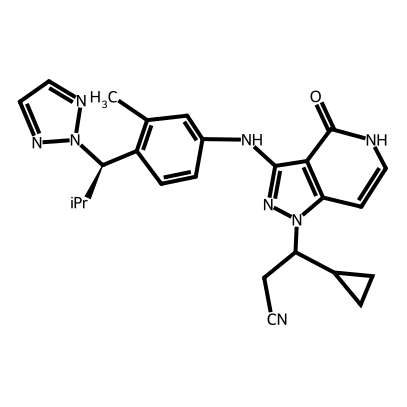 Cc1cc(Nc2nn(C(CC#N)C3CC3)c3cc[nH]c(=O)c23)ccc1[C@@H](C(C)C)n1nccn1